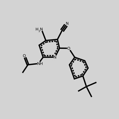 CC(=O)Nc1cc(N)c(C#N)c(Oc2ccc(C(C)(C)C)cc2)n1